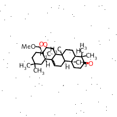 COC(=O)[C@]12CCC(C)(C)C[C@H]1C1=CC[C@@H]3[C@@]4(C)CCC(=O)C(C)(C)[C@@H]4CC[C@@]3(C)[C@]1(C)CC2=O